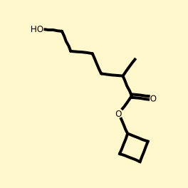 CC(CCCCO)C(=O)OC1CCC1